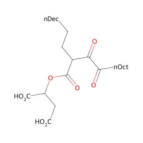 CCCCCCCCCCCCC(C(=O)OC(CC(=O)O)C(=O)O)C(=O)C(=O)CCCCCCCC